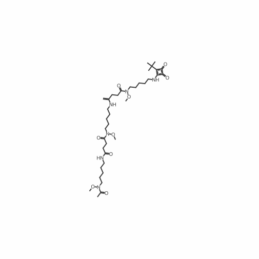 C=C(CCC(=O)N(CCCCCNc1c(C(C)(C)C)c(=O)c1=O)OC)NCCCCCN(OC)C(=O)CCC(=O)NCCCCCN(OC)C(C)=O